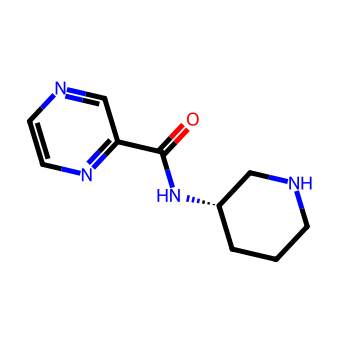 O=C(N[C@H]1CCCNC1)c1cnccn1